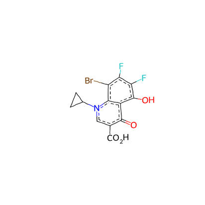 O=C(O)c1cn(C2CC2)c2c(Br)c(F)c(F)c(O)c2c1=O